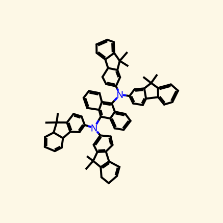 CC1(C)C2=C(C=CCC2)c2ccc(N(c3ccc4c(c3)C3C=CC=CC3C4(C)C)c3c4ccccc4c(N(C4=CCC5C(=C4)C(C)(C)c4ccccc45)c4ccc5c(c4)C(C)(C)c4ccccc4-5)c4ccccc34)cc21